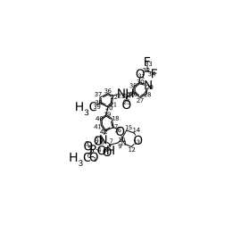 COP(=O)(O)ON1C(=O)CC2(CCOCC2)Oc2cc(-c3cc(NC(=O)c4ccnc(OC(F)F)c4)ccc3C)ccc21